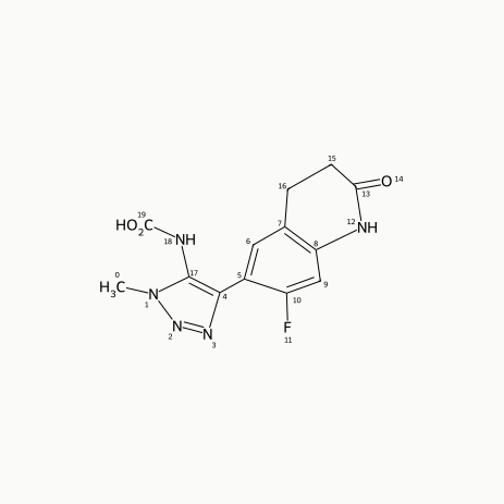 Cn1nnc(-c2cc3c(cc2F)NC(=O)CC3)c1NC(=O)O